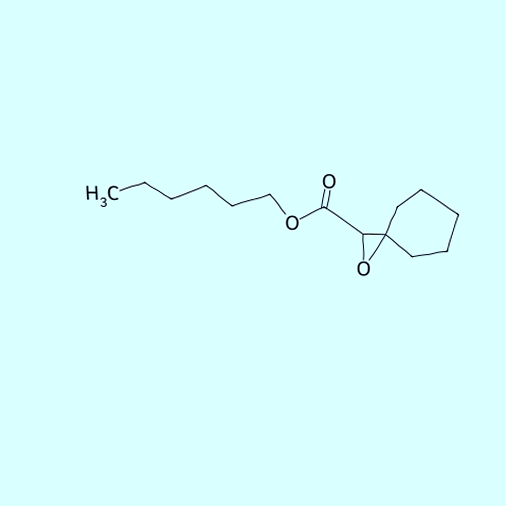 CCCCCCOC(=O)C1OC12CCCCC2